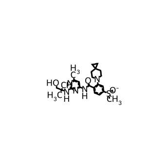 Cc1cc(NC(=O)c2ccc([S+](C)[O-])cc2N2CCC3(CC2)CC3)nc(NC(C)(C)CO)n1